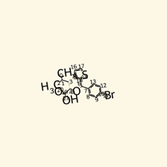 CC(C)C[C@H](O[C@@H](c1ccc(Br)cc1)c1cccs1)C(=O)O